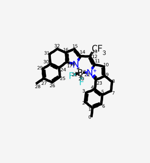 Cc1ccc2c(c1)CCC1=CC3=C(C(F)(F)F)c4cc5c(n4[B-](F)(F)[N+]3=C12)-c1ccc(C)cc1CC5